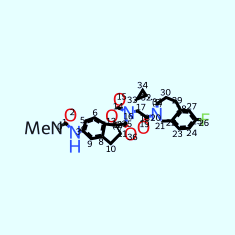 CNC(=O)Nc1ccc2c(c1)CC[C@]21OC(=O)N(CC(=O)N2Cc3ccc(F)cc3CC[C@H]2C2CC2)C1=O